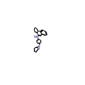 c1ccc(Nc2ccc(Nc3cc4ccccc4c4ccccc34)cc2)cc1